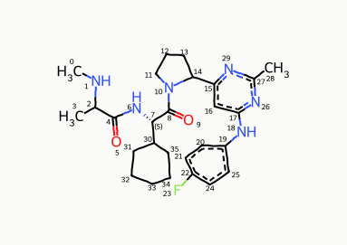 CNC(C)C(=O)N[C@H](C(=O)N1CCCC1c1cc(Nc2ccc(F)cc2)nc(C)n1)C1CCCCC1